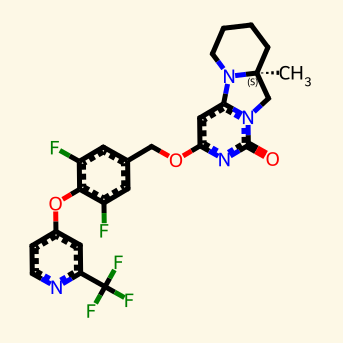 C[C@@]12CCCCN1c1cc(OCc3cc(F)c(Oc4ccnc(C(F)(F)F)c4)c(F)c3)nc(=O)n1C2